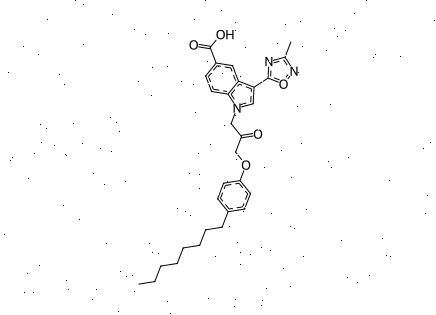 CCCCCCCCc1ccc(OCC(=O)Cn2cc(-c3nc(C)no3)c3cc(C(=O)O)ccc32)cc1